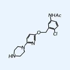 CC(=O)Nc1ccc(Cl)c(COc2ccc(N3CCNCC3)nc2)c1